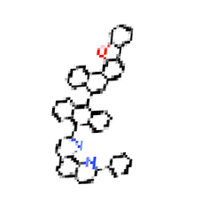 c1ccc(-c2ccc3ccc4ccc(-c5c6ccccc6c(-c6cc7ccc8c9ccccc9oc8c7c7ccccc67)c6ccccc56)nc4c3n2)cc1